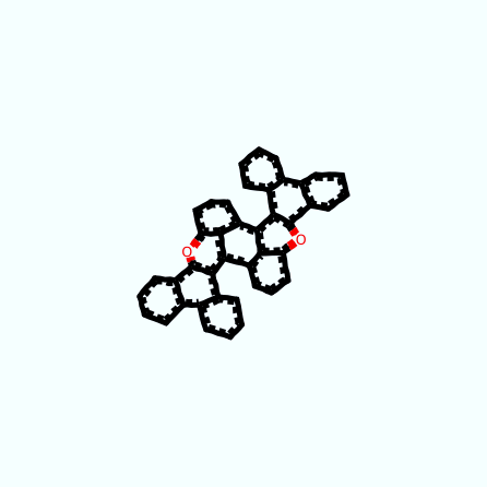 c1ccc2c(c1)c1ccccc1c1c2oc2cccc3c2c1c1cccc2oc4c5ccccc5c5ccccc5c4c3c21